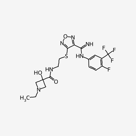 CCN1CC(O)(C(=O)NCCSc2nonc2C(=N)Nc2ccc(F)c(C(F)(F)F)c2)C1